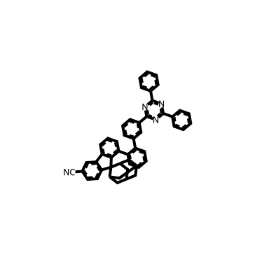 N#Cc1ccc2c(c1)-c1cccc(-c3ccccc3-c3cccc(-c4nc(-c5ccccc5)nc(-c5ccccc5)n4)c3)c1C21C2CC3CC(C2)CC1C3